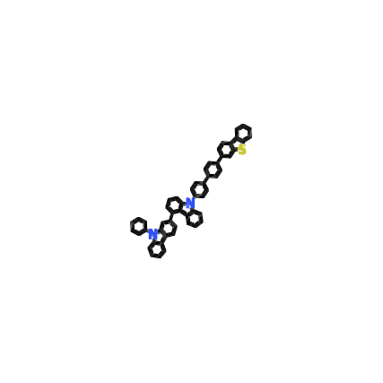 c1ccc(-n2c3ccccc3c3ccc(-c4cccc5c4c4ccccc4n5-c4ccc(-c5ccc(-c6ccc7c(c6)sc6ccccc67)cc5)cc4)cc32)cc1